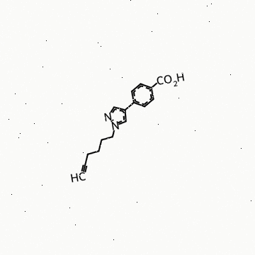 C#CCCCCn1cc(-c2ccc(C(=O)O)cc2)cn1